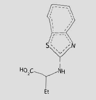 CCC(Nc1nc2ccccc2s1)C(=O)O